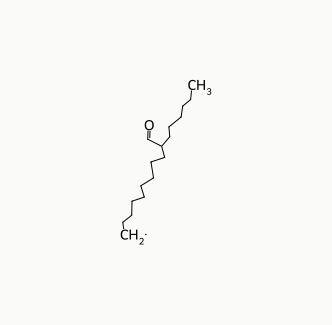 [CH2]CCCCCCCCC(C=O)CCCCCC